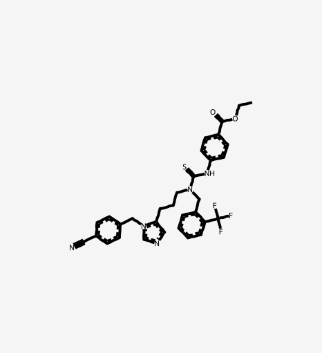 CCOC(=O)c1ccc(NC(=S)N(CCCc2cncn2Cc2ccc(C#N)cc2)Cc2ccccc2C(F)(F)F)cc1